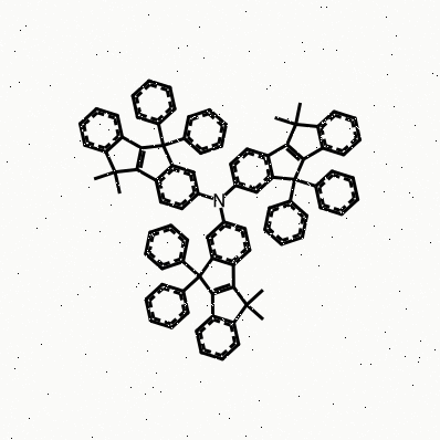 CC1(C)C2=C(c3ccccc31)C(c1ccccc1)(c1ccccc1)c1cc(N(c3ccc4c(c3)C(c3ccccc3)(c3ccccc3)C3=C4C(C)(C)c4ccccc43)c3ccc4c(c3)C(c3ccccc3)(c3ccccc3)C3=C4C(C)(C)c4ccccc43)ccc12